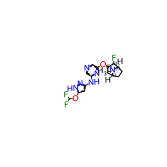 CN1[C@H]2CC[C@@H]1[C@H](F)[C@H](Oc1cncc(Nc3cc(OC(F)F)[nH]n3)n1)C2